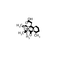 COCO[C@@H](CC(=O)O)[C@H]1CCC[C@H](C)N1C(=O)OC(C)(C)C